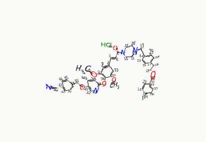 COc1cc(/C=C/C(=O)N2CCN(Cc3ccc(CCOc4ccc(F)cc4)cc3)CC2)cc(OC)c1Oc1ccc(OCc2ccc(C#N)cc2)cn1.Cl